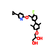 Cc1cc(OCC(O)CO)cc(C)c1-c1ccc(F)c(COc2ccc(C3CC3)cn2)c1